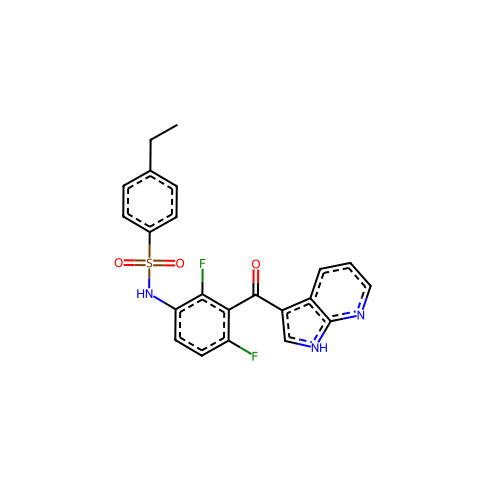 CCc1ccc(S(=O)(=O)Nc2ccc(F)c(C(=O)c3c[nH]c4ncccc34)c2F)cc1